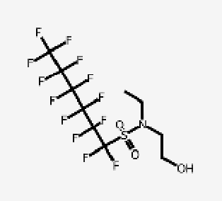 CCN(CCO)S(=O)(=O)C(F)(F)C(F)(F)C(F)(F)C(F)(F)C(F)(F)C(F)(F)F